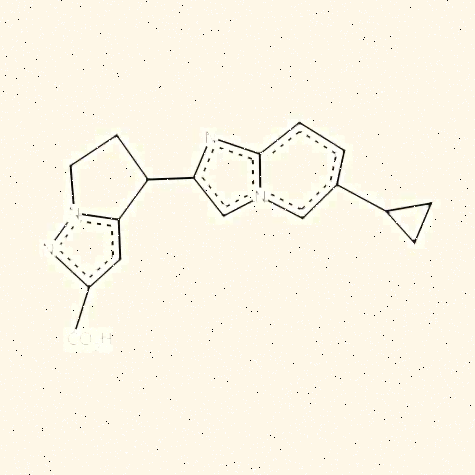 O=C(O)c1cc2n(n1)CCC2c1cn2cc(C3CC3)ccc2n1